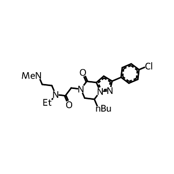 CCCCC1CN(CC(=O)N(CC)CCNC)C(=O)c2cc(-c3ccc(Cl)cc3)nn21